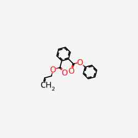 C=CCOC(=O)c1ccccc1C(=O)Oc1ccccc1